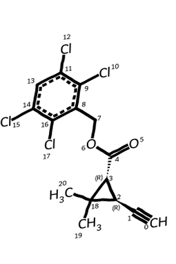 C#C[C@@H]1[C@@H](C(=O)OCc2c(Cl)c(Cl)cc(Cl)c2Cl)C1(C)C